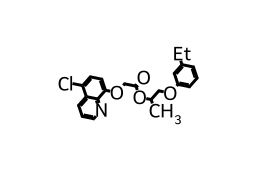 CCc1cccc(OCC(C)OC(=O)COc2ccc(Cl)c3cccnc23)c1